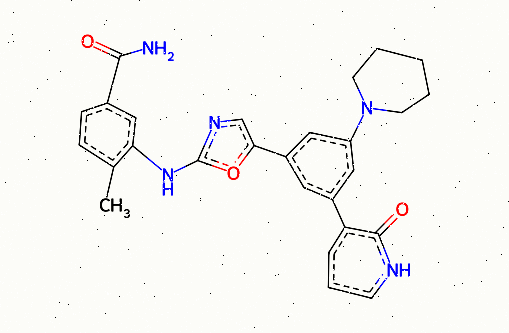 Cc1ccc(C(N)=O)cc1Nc1ncc(-c2cc(-c3ccc[nH]c3=O)cc(N3CCCCC3)c2)o1